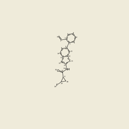 C=Cc1ccccc1-c1ccc2nc(NC(=O)C3CC3F)sc2c1